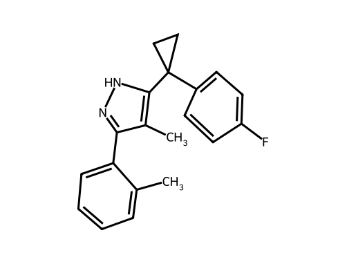 Cc1ccccc1-c1n[nH]c(C2(c3ccc(F)cc3)CC2)c1C